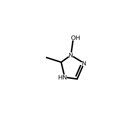 CC1NC=NN1O